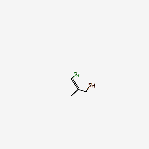 CC(=CBr)CS